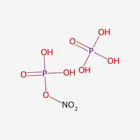 O=P(O)(O)O.O=[N+]([O-])OP(=O)(O)O